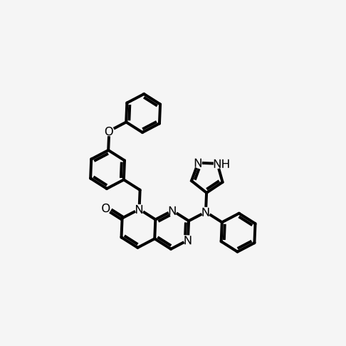 O=c1ccc2cnc(N(c3ccccc3)c3cn[nH]c3)nc2n1Cc1cccc(Oc2ccccc2)c1